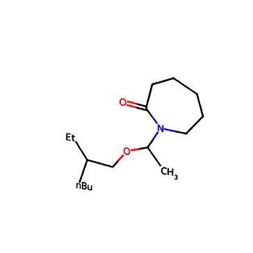 CCCCC(CC)COC(C)N1CCCCCC1=O